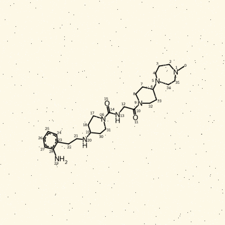 CN1CCCN(C2CCN(C(=O)CNC(=O)N3CCC(NCCc4ccccc4N)CC3)CC2)CC1